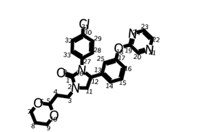 O=C1N(CCC2OCCCO2)CC(c2cccc(Oc3cnccn3)c2)N1c1ccc(Cl)cc1